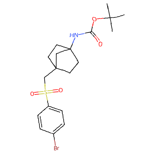 CC(C)(C)OC(=O)NC12CCC(CS(=O)(=O)c3ccc(Br)cc3)(CC1)C2